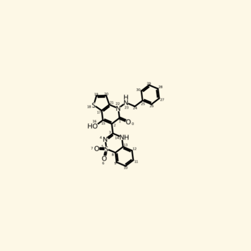 O=c1c(C2=NS(=O)(=O)c3ccccc3N2)c(O)c2sccc2n1NCc1ccccc1